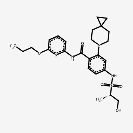 C[C@@H](CO)S(=O)(=O)Nc1ccc(C(=O)Nc2cccc(OCCC(F)(F)F)n2)c(N2CCC3(CC2)CC3)c1